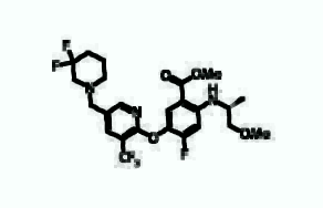 COC[C@H](C)Nc1cc(F)c(Oc2ncc(CN3CCCC(F)(F)C3)cc2C(F)(F)F)cc1C(=O)OC